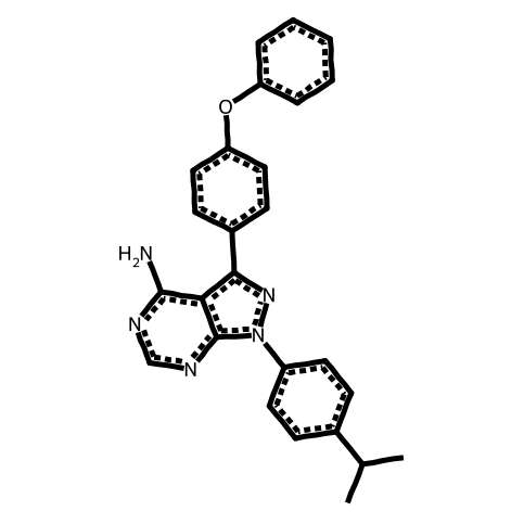 CC(C)c1ccc(-n2nc(-c3ccc(Oc4ccccc4)cc3)c3c(N)ncnc32)cc1